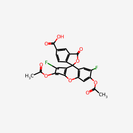 CC(=O)Oc1cc2c(cc1F)C1(OC(=O)c3cc(C(=O)O)ccc31)c1cc(F)c(OC(C)=O)cc1O2